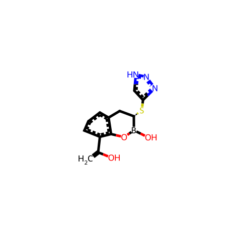 C=C(O)c1cccc2c1OB(O)[C@@H](Sc1c[nH]nn1)C2